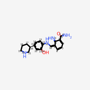 N=C1C(C(N)=O)=CC=C/C1=C/Nc1ccc([C@@H]2CCCNC2)cc1O